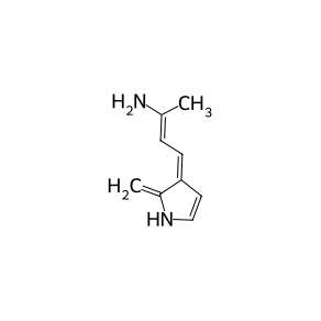 C=c1[nH]cc/c1=C/C=C(\C)N